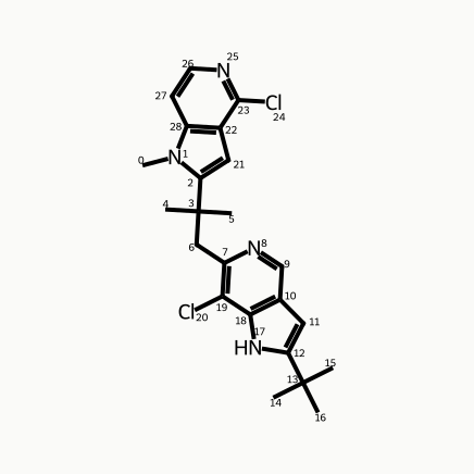 Cn1c(C(C)(C)Cc2ncc3cc(C(C)(C)C)[nH]c3c2Cl)cc2c(Cl)nccc21